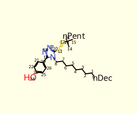 CCCCCCCCCCCCCCCCCCn1c(SSC(C)(C)CCCCC)nnc1-c1ccc(O)cc1